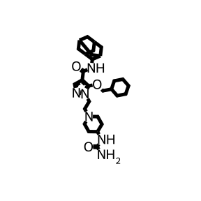 NC(=O)NC1CCN(CCn2ncc(C(=O)NC3C4CC5CC(C4)CC3C5)c2OCC2CCCCC2)CC1